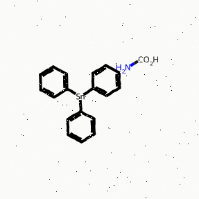 NC(=O)O.c1cc[c]([Sn]([c]2ccccc2)[c]2ccccc2)cc1